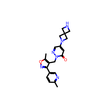 Cc1ccc(-c2noc(C)c2Cn2ncc(N3CC4(CNC4)C3)cc2=O)cn1